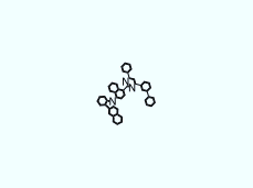 c1ccc(-c2cccc(-c3cc(-c4ccccc4)nc(-c4ccc(-n5c6ccccc6c6cc7ccccc7cc65)c5ccccc45)n3)c2)cc1